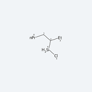 CCCCC(CC)[SiH2]Cl